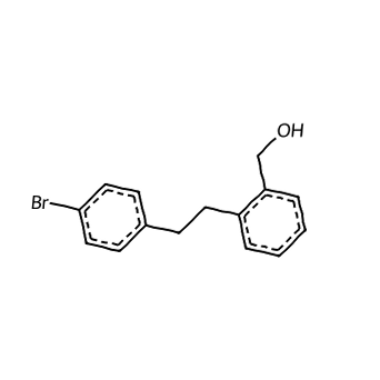 OCc1ccccc1CCc1ccc(Br)cc1